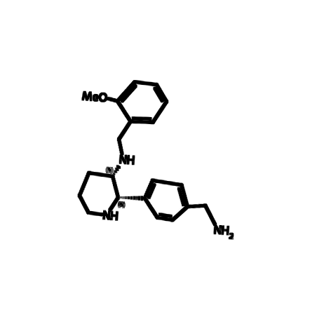 COc1ccccc1CN[C@H]1CCCN[C@H]1c1ccc(CN)cc1